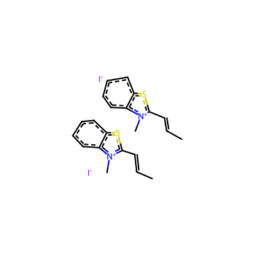 CC=Cc1sc2ccccc2[n+]1C.CC=Cc1sc2ccccc2[n+]1C.[I-].[I-]